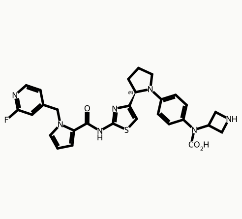 O=C(Nc1nc([C@H]2CCCN2c2ccc(N(C(=O)O)C3CNC3)cc2)cs1)c1cccn1Cc1ccnc(F)c1